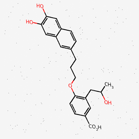 CC(O)Cc1cc(C(=O)O)ccc1OCCCc1ccc2cc(O)c(O)cc2c1